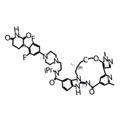 Cc1cc2cc(n1)-c1cnn(C)c1OCCC[C@@H](C)CN1/C(=N/C2=O)Nc2ccc(C(=O)N(CCN3CCN(c4cc(F)c([C@H]5CCC(=O)NC5=O)c(F)c4)CC3)C(C)C)cc21